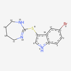 Brc1ccc2[nH]cc(SC3=NCCCCN3)c2c1